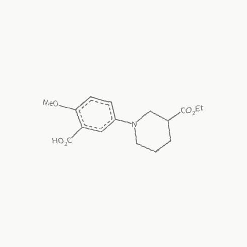 CCOC(=O)C1CCCN(c2ccc(OC)c(C(=O)O)c2)C1